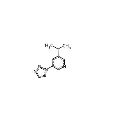 CC(C)c1cncc(-n2ccnn2)c1